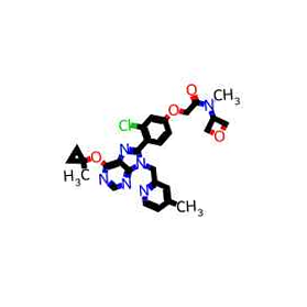 Cc1ccnc(Cn2c(-c3ccc(OCC(=O)N(C)C4COC4)cc3Cl)nc3c(OC4(C)CC4)ncnc32)c1